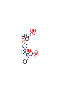 COc1cc(/C=C/C(=O)O)ccc1OC1CCCN(CC(O)(c2cn(Cc3ccccc3)c3cc([N+](=O)[O-])ccc23)C(F)(F)F)CC1